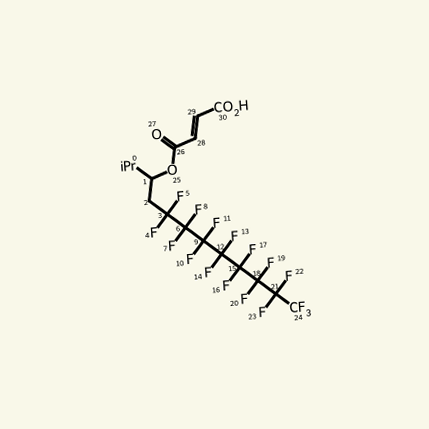 CC(C)C(CC(F)(F)C(F)(F)C(F)(F)C(F)(F)C(F)(F)C(F)(F)C(F)(F)C(F)(F)F)OC(=O)C=CC(=O)O